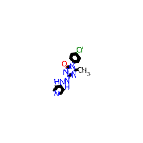 Cc1nc(NNc2ccncc2)nc(=O)n1-c1ccc(Cl)cc1